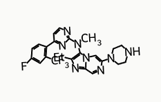 CCc1nc2cnc(N3CCNCC3)cn2c1N(C)c1nccc(-c2ccc(F)cc2C(F)(F)F)n1